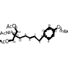 CCCCOc1ccc(CCCCCC(COC(C)=O)(COC(C)=O)NC(C)=O)cc1